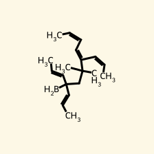 BC(C=CC)(C=CC)CC(C)(C)C(/C=C\C)=C/C=C\C